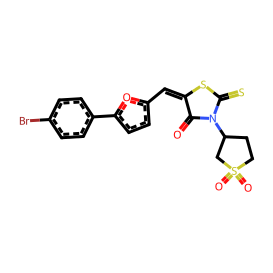 O=C1/C(=C\c2ccc(-c3ccc(Br)cc3)o2)SC(=S)N1C1CCS(=O)(=O)C1